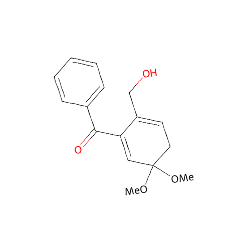 COC1(OC)C=C(C(=O)c2ccccc2)C(CO)=CC1